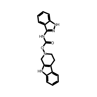 O=C(Nc1n[nH]c2ccccc12)ON1CCc2c([nH]c3ccccc23)C1